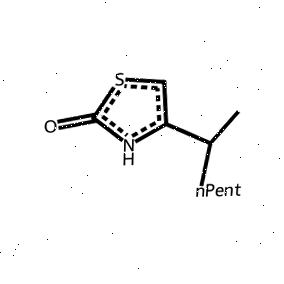 CCCCCC(C)c1csc(=O)[nH]1